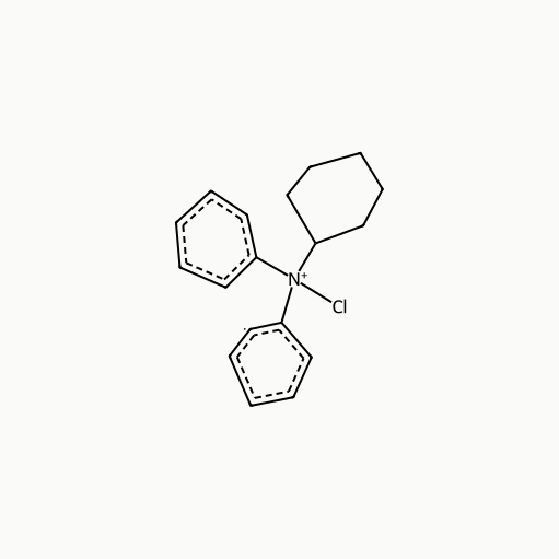 Cl[N+](c1[c]cccc1)(c1ccccc1)C1CCCCC1